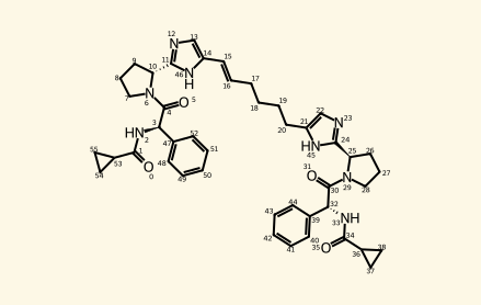 O=C(N[C@@H](C(=O)N1CCC[C@@H]1c1ncc(C=CCCCCc2cnc([C@H]3CCCN3C(=O)[C@H](NC(=O)C3CC3)c3ccccc3)[nH]2)[nH]1)c1ccccc1)C1CC1